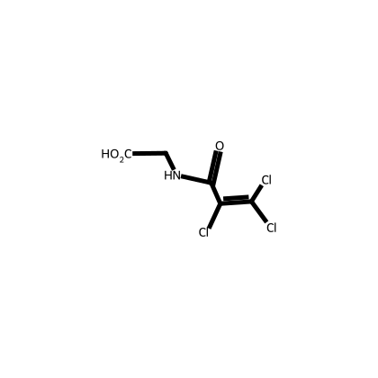 O=C(O)CNC(=O)C(Cl)=C(Cl)Cl